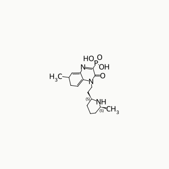 CC1C=c2nc(P(=O)(O)O)c(=O)n(CC[C@@H]3CCC[C@H](C)N3)c2=CC1